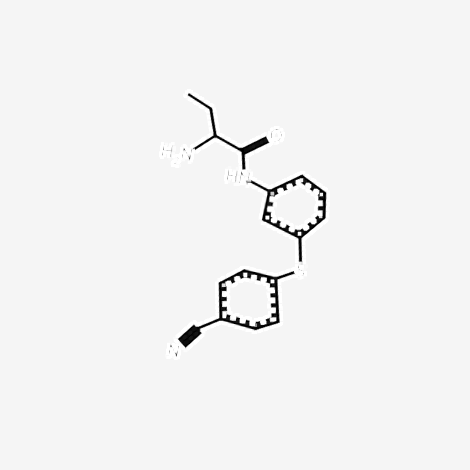 CCC(N)C(=O)Nc1cccc(Sc2ccc(C#N)cc2)c1